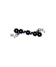 CCN1c2cc(/C=C/c3ccc(/C=C/c4ccc5c6ccccc6n(CC)c5c4)cc3)ccc2C2C=CC=CC21